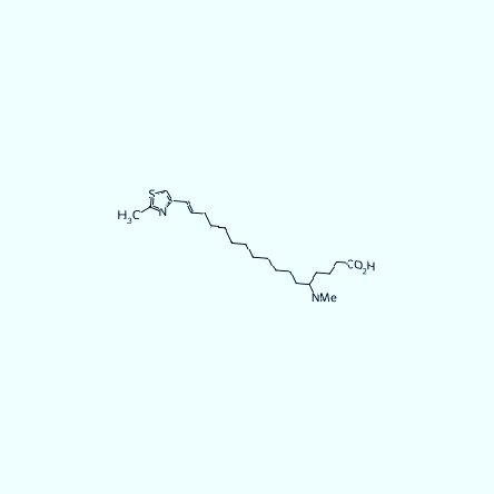 CNC(CCCCCCCCCCC=Cc1csc(C)n1)CCCC(=O)O